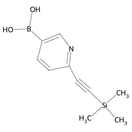 C[Si](C)(C)C#Cc1ccc(B(O)O)cn1